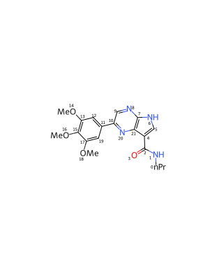 CCCNC(=O)c1c[nH]c2ncc(-c3cc(OC)c(OC)c(OC)c3)nc12